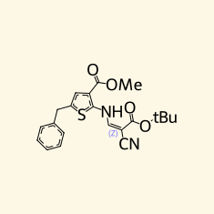 COC(=O)c1cc(Cc2ccccc2)sc1N/C=C(/C#N)C(=O)OC(C)(C)C